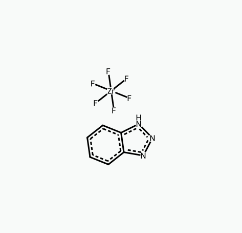 [F][Zr]([F])([F])([F])([F])[F].c1ccc2[nH]nnc2c1